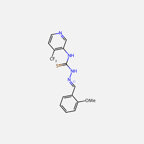 COc1ccccc1/C=N/NC(=S)Nc1cnccc1C(F)(F)F